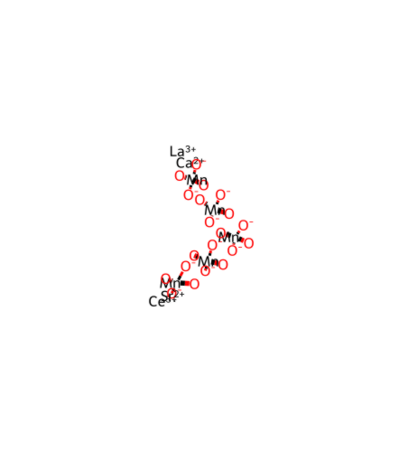 [Ca+2].[Ce+3].[La+3].[O]=[Mn](=[O])([O-])[O-].[O]=[Mn](=[O])([O-])[O-].[O]=[Mn](=[O])([O-])[O-].[O]=[Mn](=[O])([O-])[O-].[O]=[Mn](=[O])([O-])[O-].[Sr+2]